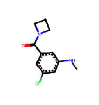 CNc1cc(Cl)cc(C(=O)N2CCC2)c1